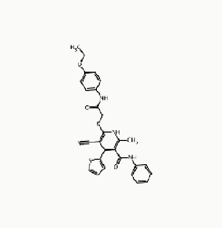 CCOc1ccc(NC(=O)CSC2=C(C#N)C(c3cccs3)C(C(=O)Nc3ccccc3)=C(C)N2)cc1